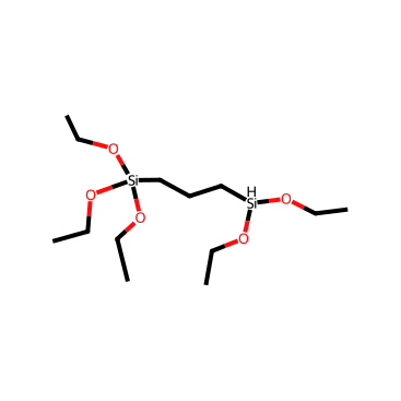 CCO[SiH](CCC[Si](OCC)(OCC)OCC)OCC